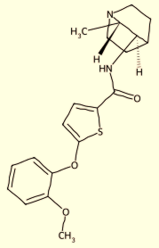 COc1ccccc1Oc1ccc(C(=O)N[C@@H]2C3CCN(CC3)[C@H]2C)s1